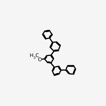 COc1cc(-c2cccc(-c3ccccc3)c2)cc(-c2cccc(-c3ccccc3)c2)c1